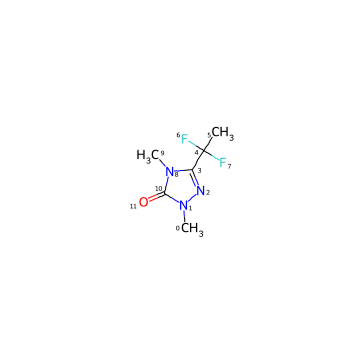 Cn1nc(C(C)(F)F)n(C)c1=O